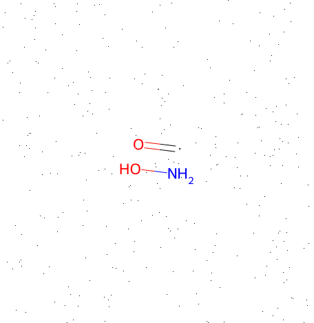 NO.[CH]=O